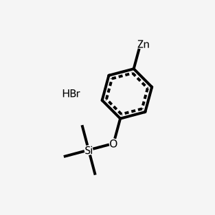 Br.C[Si](C)(C)Oc1cc[c]([Zn])cc1